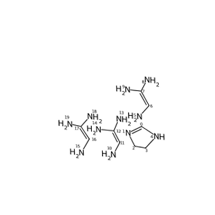 C1=NCCN1.NC=C(N)N.NC=C(N)N.NC=C(N)N